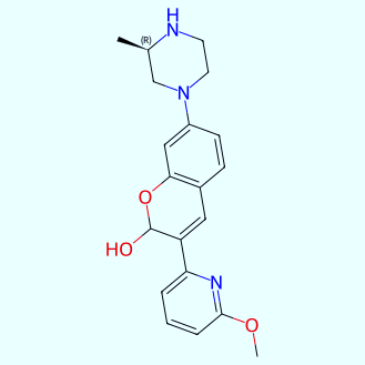 COc1cccc(C2=Cc3ccc(N4CCN[C@H](C)C4)cc3OC2O)n1